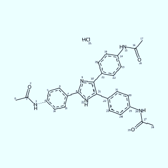 CC(=O)Nc1ccc(-c2nc(-c3ccc(NC(C)=O)cc3)c(-c3ccc(NC(C)=O)cc3)[nH]2)cc1.Cl